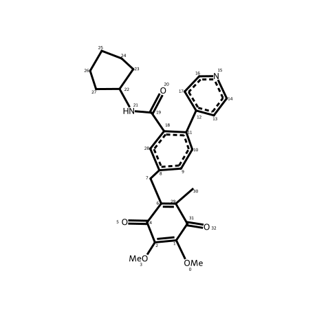 COC1=C(OC)C(=O)C(Cc2ccc(-c3ccncc3)c(C(=O)NC3CCCCC3)c2)=C(C)C1=O